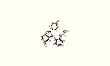 CN1CCN(c2nc3ccc(Cl)cc3s2)CC1.COCOc1ccccc1C